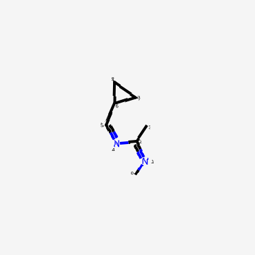 C/N=C(C)\N=C/C1CC1